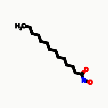 CCCCCCCCCCCCCC(=O)N=O